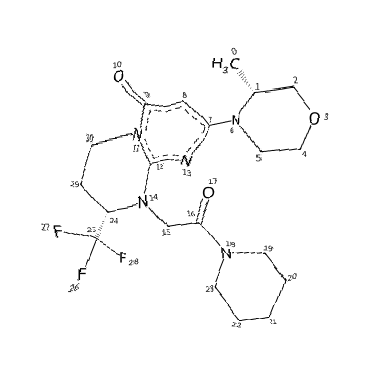 C[C@@H]1COCCN1c1cc(=O)n2c(n1)N(CC(=O)N1CCCCC1)[C@H](C(F)(F)F)CC2